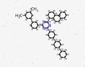 Cc1cc(C)cc(-c2cccc(-c3nc(-c4ccc(-c5ccc(-c6ccccc6)cc5)cc4)nc(-c4cccc5c4ccc4ccccc45)n3)c2)c1